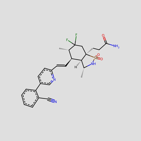 C[C@H]1NS(=O)(=O)[C@]2(CCC(N)=O)CC(F)(F)[C@@H](C)[C@H](/C=C/c3ccc(-c4ccccc4C#N)cn3)[C@H]12